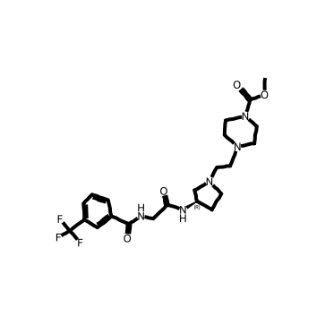 COC(=O)N1CCN(CCN2CC[C@@H](NC(=O)CNC(=O)c3cccc(C(F)(F)F)c3)C2)CC1